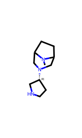 CN1C2CCC1CN([C@@H]1CCNC1)C2